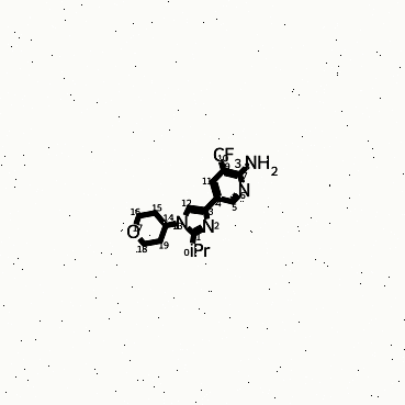 CC(C)c1nc(-c2cnc(N)c(C(F)(F)F)c2)cn1C1CCOCC1